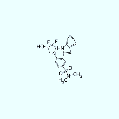 CN(C)S(=O)(=O)c1ccc(N2C[C@@H](O)C(F)(F)C2)c(-c2cc3ccccc3[nH]2)c1